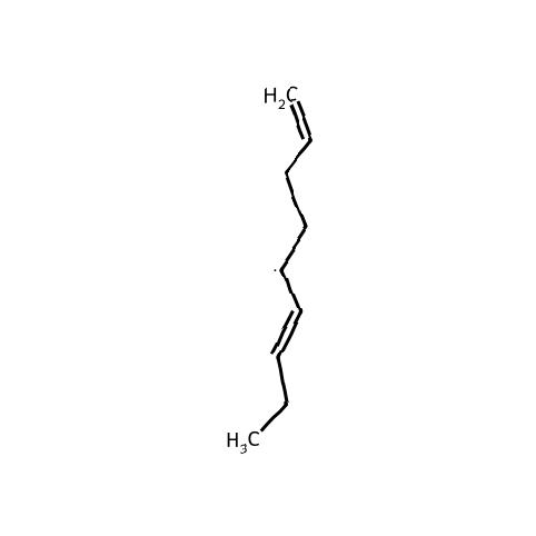 C=CCC[CH]C=CCC